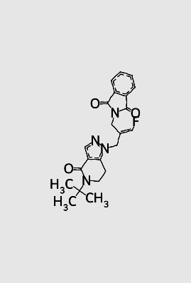 CC(C)(C)N1CCc2c(cnn2C/C(=C/F)CN2C(=O)c3ccccc3C2=O)C1=O